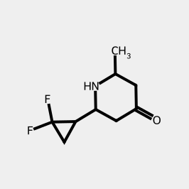 CC1CC(=O)CC(C2CC2(F)F)N1